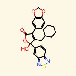 O=C1OC(O)(c2ccc3nsnc3c2)C(CC2CCCCC2)=C1c1ccc2c(c1)OCO2